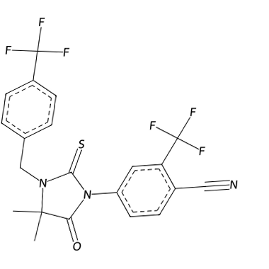 CC1(C)C(=O)N(c2ccc(C#N)c(C(F)(F)F)c2)C(=S)N1Cc1ccc(C(F)(F)F)cc1